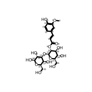 COc1cc(/C=C/C(=O)O[C@H]2[C@H](O[C@@H]3[C@@H](O)[C@H](O)O[C@H](CO)[C@@H]3O)O[C@H](CO)[C@@H](O)[C@@H]2O)ccc1O